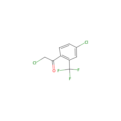 O=C(CCl)c1ccc(Cl)cc1C(F)(F)F